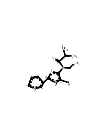 CCN(C(=O)C(C)C)c1sc(-c2cccnc2)nc1Br